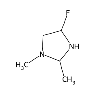 CC1NC(F)CN1C